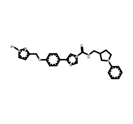 CC(C)n1ccc(COc2ccc(-c3cn(C(=O)NCC4CCN(c5ccccc5)C4)cn3)cc2)n1